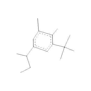 CCC(C)c1cc(C)c(O)c(C(C)(C)C)c1